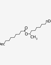 CCCCCCCCCCCCCCCCCC(=O)OC(C)CCCCCCCCCCCCCCCC